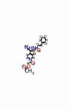 CC(=O)OCC(=O)N1CCc2c(sc(NC(=O)/C=C/c3ccccc3)c2C#N)C1